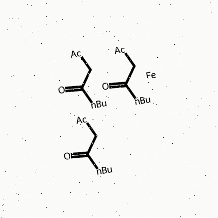 CCCCC(=O)CC(C)=O.CCCCC(=O)CC(C)=O.CCCCC(=O)CC(C)=O.[Fe]